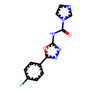 O=C(Nc1nnc(-c2ccc(F)cc2)o1)n1ccnc1